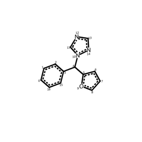 c1ccc(C(c2ccco2)n2cncn2)cc1